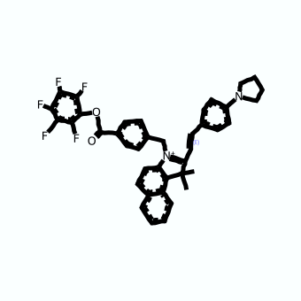 CC1(C)C(/C=C/c2ccc(N3CCCC3)cc2)=[N+](Cc2ccc(C(=O)Oc3c(F)c(F)c(F)c(F)c3F)cc2)c2ccc3ccccc3c21